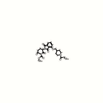 CC(C)(C)OC(=O)N1CCC(COc2cccc3c2C(=O)N(C2CCC(=O)N(C(=O)OC(C)(C)C)C2=O)C3=O)CC1